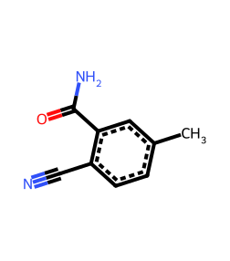 Cc1ccc(C#N)c(C(N)=O)c1